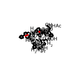 CCCC[C@H](NC(=O)[C@H](CO)NC(=O)[C@H](Cc1ccc(O)cc1)NC(=O)[C@H](CO)NC(C)=O)C(=O)N[C@@H](CCC(=O)O)C(=O)N1C2CCCCC2C[C@H]1C(=O)N[C@H](Cc1ccc(-c2ccccc2)cc1)C(=O)N1CCCC[C@H]1C(=O)N[C@@H](Cc1c[nH]c2ccccc12)C(=O)NCC(=O)N[C@@H](CCCCN)C(=O)N1CCC[C@H]1C(=O)N[C@H](C(N)=O)C(C)C